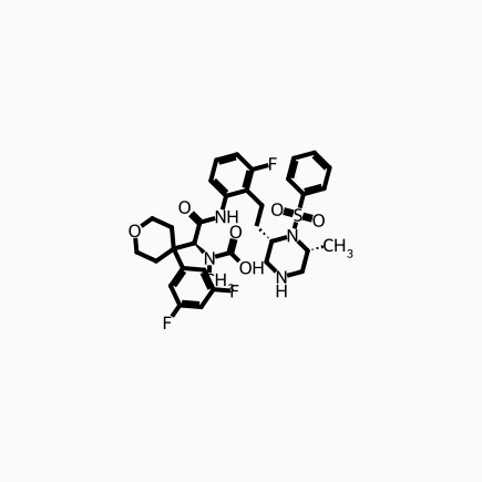 C[C@@H]1CNC[C@H](CCc2c(F)cccc2NC(=O)[C@@H](N(C)C(=O)O)C2(c3cc(F)cc(F)c3)CCOCC2)N1S(=O)(=O)c1ccccc1